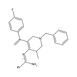 C=C(C1=C(/N=C(\N)C(C)C)C(C)CN(Cc2ccccc2)C1)c1ccc(F)cc1